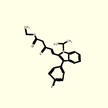 CCOC(=O)CC(=O)C=Cc1c(-c2ccc(F)cc2)c2ccccc2n1C(C)C